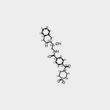 O=C(NC[C@@H](O)[C@@H]1Cc2ccccc2CN1)c1ccc(C(=O)N2CCS(=O)(=O)CC2)cc1